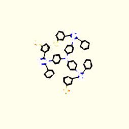 CS(=O)(=O)c1cccc(-c2nnc(-c3ccccc3)n2-c2ccc(N(c3ccc(-n4c(-c5ccccc5)nnc4-c4cccc(S(C)(=O)=O)c4)cc3)c3ccc(-n4c(-c5ccccc5)nnc4-c4cccc(S(C)(=O)=O)c4)cc3)cc2)c1